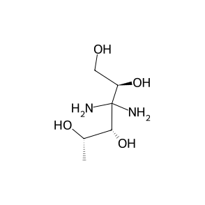 C[C@H](O)[C@@H](O)C(N)(N)[C@H](O)CO